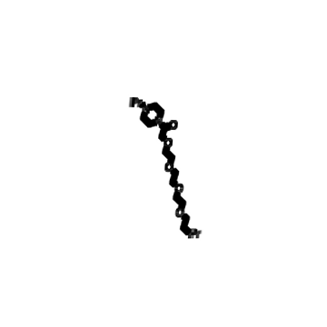 CC(C)CCOCCOCCOCCOCC(=O)N1CCN(C(C)C)CC1